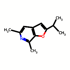 Cc1cc2cc(C(C)C)oc2c(C)n1